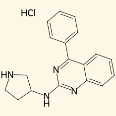 Cl.c1ccc(-c2nc(NC3CCNC3)nc3ccccc23)cc1